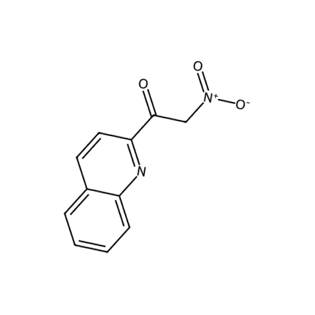 O=C(C[N+](=O)[O-])c1ccc2ccccc2n1